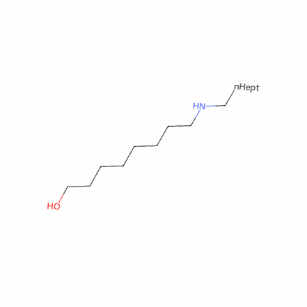 CCCCCCCCNCCCCCCCCO